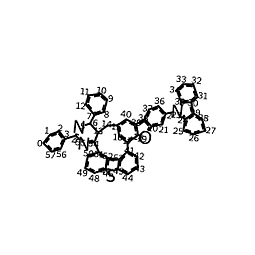 c1ccc(C2=NC(c3ccccc3)C3Cc4cc(c5oc6cc(-n7c8ccccc8c8ccccc87)ccc6c5c4)-c4cccc5sc6cccc(c6c45)C3=N2)cc1